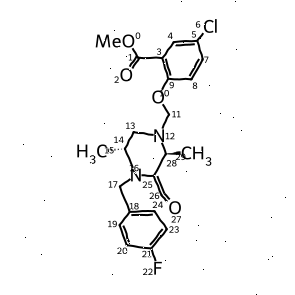 COC(=O)c1cc(Cl)ccc1OCN1C[C@@H](C)N(Cc2ccc(F)cc2)C(=C=O)[C@@H]1C